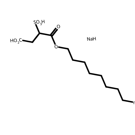 CCCCCCCCCCCCCCCCCCOC(=O)C(CC(=O)O)S(=O)(=O)O.[NaH]